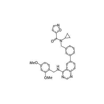 COc1ccc(CNc2ncnc3ccc(-c4cccc(CN(C(=O)c5ccno5)C5CC5)c4)cc23)c(OC)c1